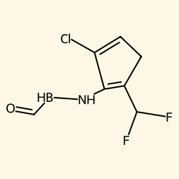 O=CBNC1=C(C(F)F)CC=C1Cl